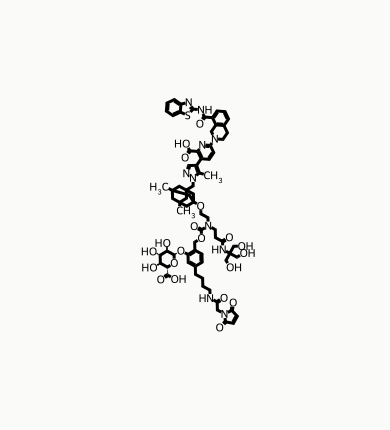 Cc1c(-c2ccc(N3CCc4cccc(C(=O)Nc5nc6ccccc6s5)c4C3)nc2C(=O)O)cnn1CC12CC3(C)CC(C)(C1)CC(OCCN(CCC(=O)NC(CO)(CO)CO)C(=O)OCc1ccc(CCCCNC(=O)CN4C(=O)C=CC4=O)cc1O[C@@H]1O[C@H](C(=O)O)[C@@H](O)[C@H](O)[C@H]1O)(C3)C2